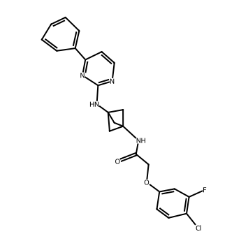 O=C(COc1ccc(Cl)c(F)c1)NC12CC(Nc3nccc(-c4ccccc4)n3)(C1)C2